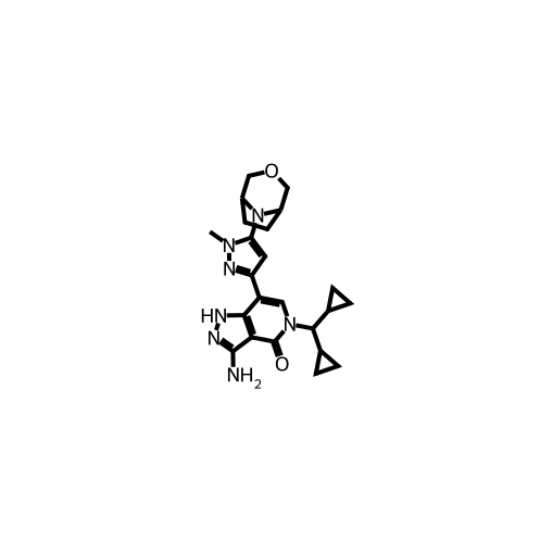 Cn1nc(-c2cn(C(C3CC3)C3CC3)c(=O)c3c(N)n[nH]c23)cc1N1C2CCC1COC2